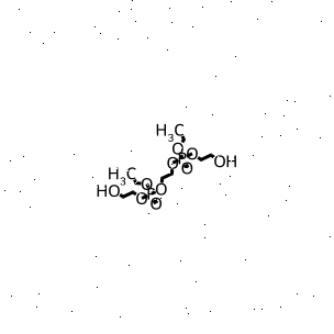 CCOP(=O)(OCCO)OCCOP(=O)(OCC)OCCO